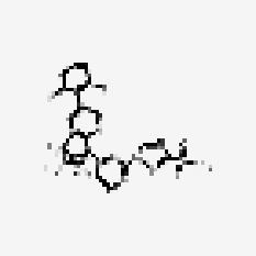 CC1(C)[C@H]2CC[C@@]1(c1ccnc(-n3cnc(S(N)(=O)=O)n3)n1)c1nnc(-c3c(F)cccc3F)cc12